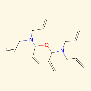 C=CCN(CC=C)C(C=C)OC(C=C)N(CC=C)CC=C